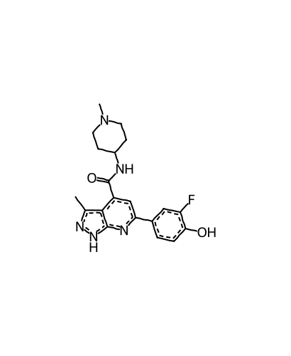 Cc1n[nH]c2nc(-c3ccc(O)c(F)c3)cc(C(=O)NC3CCN(C)CC3)c12